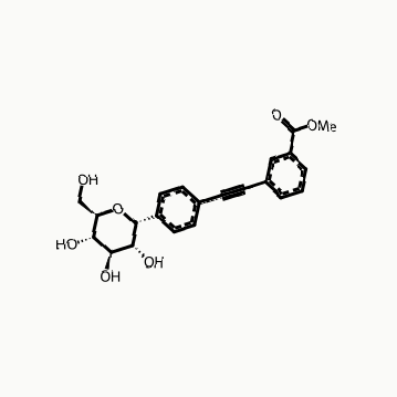 COC(=O)c1cccc(C#Cc2ccc([C@H]3O[C@H](CO)[C@@H](O)[C@H](O)[C@H]3O)cc2)c1